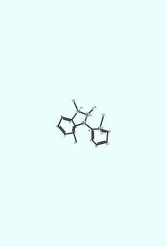 Cc1cccc2c1N(c1cccc[n+]1C)B(I)N2C